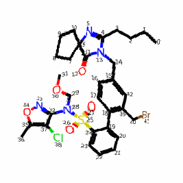 CCCCC1=NC2(CCCC2)C(=O)N1Cc1ccc(-c2ccccc2S(=O)(=O)N(COC)c2noc(C)c2Cl)c(CBr)c1